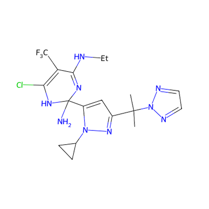 CCNC1=NC(N)(c2cc(C(C)(C)n3nccn3)nn2C2CC2)NC(Cl)=C1C(F)(F)F